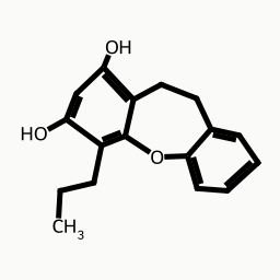 CCCc1c(O)cc(O)c2c1Oc1ccccc1CC2